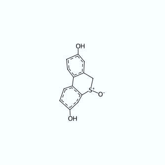 [O-][S+]1Cc2cc(O)ccc2-c2ccc(O)cc21